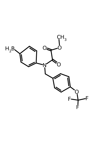 Bc1ccc(N(Cc2ccc(OC(F)(F)F)cc2)C(=O)C(=O)OC)cc1